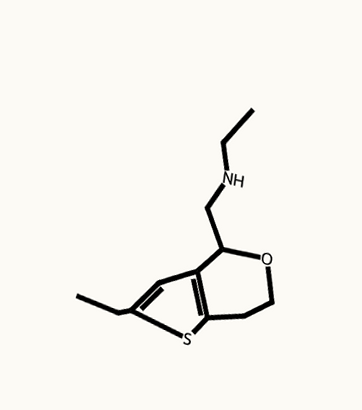 CCNCC1OCCc2sc(CC)cc21